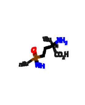 CCCCS(=N)(=O)CC[C@](N)(C(=O)O)C(C)(C)C